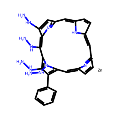 NNC1=Cc2cc3ccc(cc4nc(cc5c(-c6ccccc6)c(NN)c(c(NN)c1n2)n5NN)C=C4)[nH]3.[Zn]